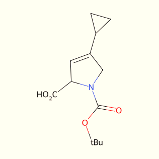 CC(C)(C)OC(=O)N1CC(C2CC2)=CC1C(=O)O